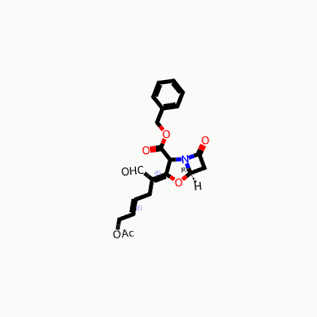 CC(=O)OC/C=C/C/C(C=O)=C1\O[C@@H]2CC(=O)N2C1C(=O)OCc1ccccc1